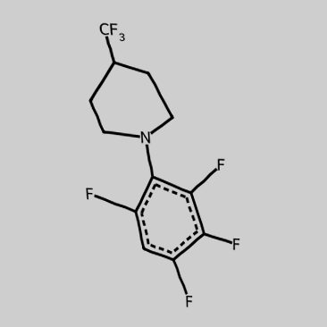 Fc1cc(F)c(N2CCC(C(F)(F)F)CC2)c(F)c1F